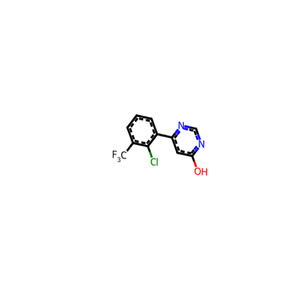 Oc1cc(-c2cccc(C(F)(F)F)c2Cl)ncn1